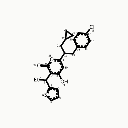 CCC(c1cccs1)c1c(O)cc(C(Cc2ccc(Cl)cc2)CC2CC2)oc1=O